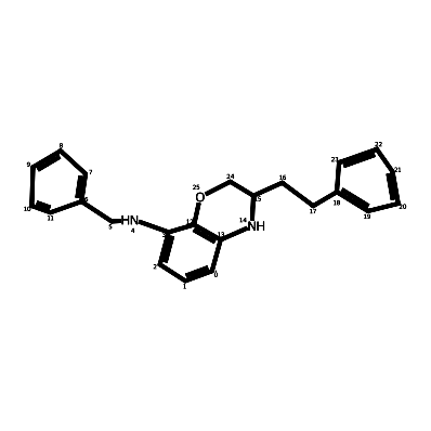 [c]1ccc(NCc2ccccc2)c2c1NC(CCc1ccccc1)CO2